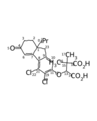 CC(C)C12CCC(=O)C=C1c1c(cc(OC(C(=O)O)C(C)(C)C(=O)O)c(Cl)c1Cl)C2